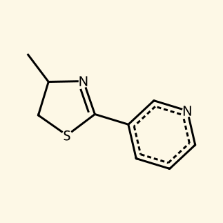 CC1CSC(c2cccnc2)=N1